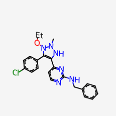 CCON1C(c2ccc(Cl)cc2)=C(c2ccnc(NCc3ccccc3)n2)NN1C